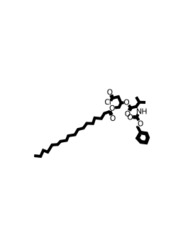 CCCCCCCCCCCCCCCCCC(=O)OCC(CC(=O)Cl)OC(=O)[C@@H](NC(=O)OCc1ccccc1)C(C)C